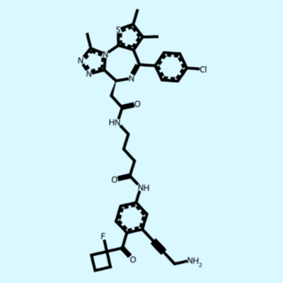 Cc1sc2c(c1C)C(c1ccc(Cl)cc1)=N[C@@H](CC(=O)NCCCC(=O)Nc1ccc(C(=O)C3(F)CCC3)c(C#CCN)c1)c1nnc(C)n1-2